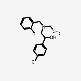 CCN(Cc1ccccc1I)CC(O)c1ccc(Cl)cc1